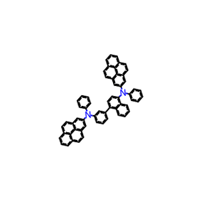 c1ccc(N(c2cccc(-c3ccc(N(c4ccccc4)c4cc5ccc6cccc7ccc(c4)c5c67)c4ccccc34)c2)c2cc3ccc4cccc5ccc(c2)c3c45)cc1